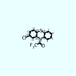 O=C(N1c2ccccc2Sc2ccc(Cl)cc21)C(F)(F)F